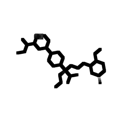 CCC[C@@](CCCC1C[C@@H](C)CCC1CC)(C(C)C)C1CCC(C(CC)CC(O)C(C)CC)CC1